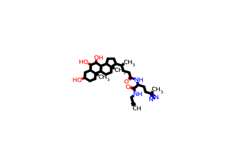 C#CCNC(=O)C(CCC1(C)N=N1)NC(=O)CCC(C)C1CCC2C3C(O)C(O)C4CC(O)CCC4(C)C3CCC12C